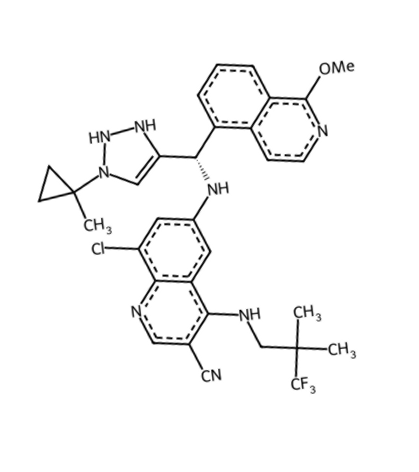 COc1nccc2c([C@H](Nc3cc(Cl)c4ncc(C#N)c(NCC(C)(C)C(F)(F)F)c4c3)C3=CN(C4(C)CC4)NN3)cccc12